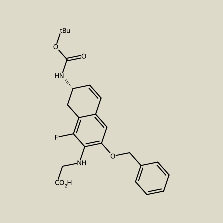 CC(C)(C)OC(=O)N[C@@H]1C=Cc2cc(OCc3ccccc3)c(NCC(=O)O)c(F)c2C1